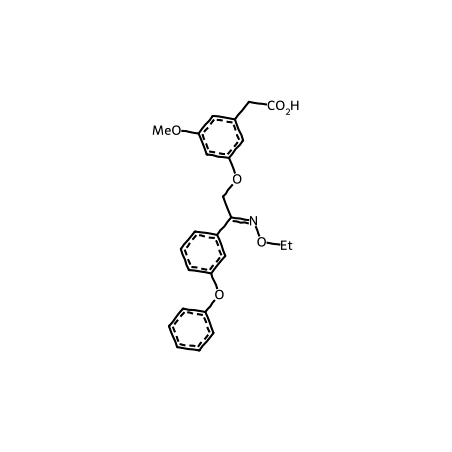 CCON=C(COc1cc(CC(=O)O)cc(OC)c1)c1cccc(Oc2ccccc2)c1